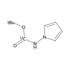 CC(C)(C)O[12C](=O)Nn1cccc1